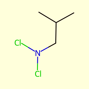 CC(C)CN(Cl)Cl